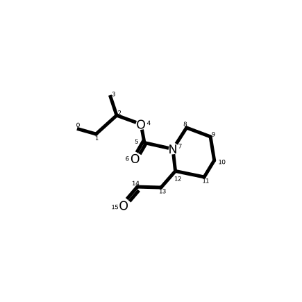 CCC(C)OC(=O)N1CCCCC1CC=O